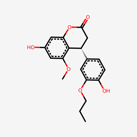 CCCOc1cc([C@H]2CC(=O)Oc3cc(O)cc(OC)c32)ccc1O